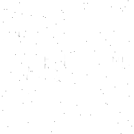 CC(C)(C)c1cc(NC(=O)Nc2ccc(-c3cccc4c3CNC4=O)cc2F)n(-c2ccc3ncccc3c2)n1